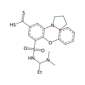 CCC(NS(=O)(=O)c1cc(C(=S)S)cc(N2CCCC2)c1Oc1ccccc1)N(C)C